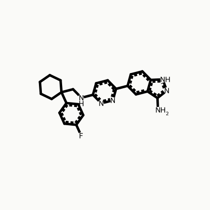 Nc1n[nH]c2ccc(-c3ccc(NCC4(c5ccc(F)cc5)CCCCC4)nn3)cc12